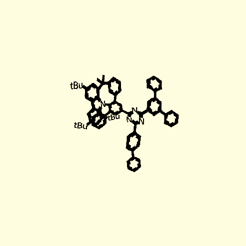 CC(C)(C)c1cc(C(C)(C)C)c2c(c1)c1cc(C(C)(C)C)cc3c1n2-c1c(-c2ccccc2)cc(-c2nc(-c4ccc(-c5ccccc5)cc4)nc(-c4cc(-c5ccccc5)cc(-c5ccccc5)c4)n2)cc1-c1cccc(c1)C3(C)C